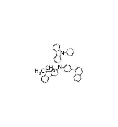 CC1(C)c2ccccc2-c2ccc(N(c3ccc(-c4cccc5ccccc45)cc3)c3ccc4c5ccccc5n(C5=CC=CCC5)c4c3)cc21